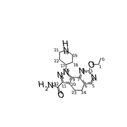 CCOc1ncc2c(n1)-c1c(c(C(N)=O)nn1C1CCNCC1)CC2